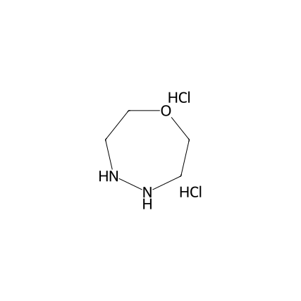 C1COCCNN1.Cl.Cl